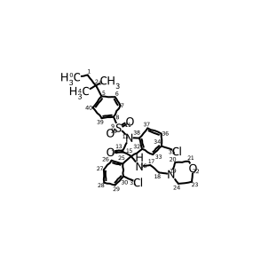 CCC(C)(C)c1ccc(S(=O)(=O)N2C(=O)C(NCCN3CCOCC3)(c3ccccc3Cl)c3cc(Cl)ccc32)cc1